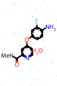 CNC(=O)c1cc(Oc2ccc(N)c(F)c2)ccn1.O